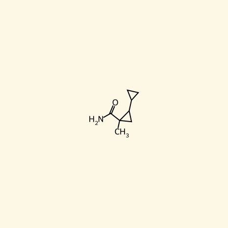 CC1(C(N)=O)CC1C1CC1